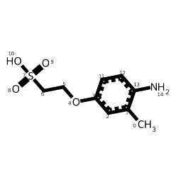 Cc1cc(OCCS(=O)(=O)O)ccc1N